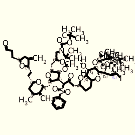 C=C1C[C@H](CCC=O)O[C@H]1CC[C@H]1C[C@@H](C)C(=C)[C@@H](C[C@@H]2O[C@H](C[C@H]3CN(C(=O)OC(C)(C)C)C(C)(C)O3)[C@H](OC)[C@H]2C(C(=O)C[C@H]2CCC3O[C@@H]([C@H](/C=C/I)O[Si](C)(C)C(C)(C)C)[C@@H](O[Si](C)(C)C(C)(C)C)[C@@H](O)[C@H]3O2)S(=O)(=O)c2ccccc2)O1